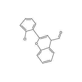 O=CC1C=C(c2ccccc2Cl)Oc2ccccc21